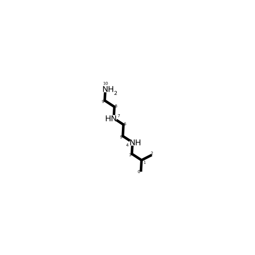 CC(C)CNCCNCCN